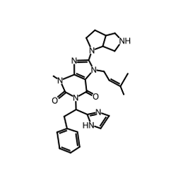 CC(C)=CCn1c(N2CCC3CNCC32)nc2c1c(=O)n(C(Cc1ccccc1)c1ncc[nH]1)c(=O)n2C